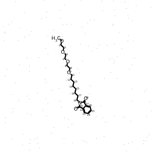 COCCOCCOCCOCCCCCCCCN1C(=O)c2ccccc2C1=O